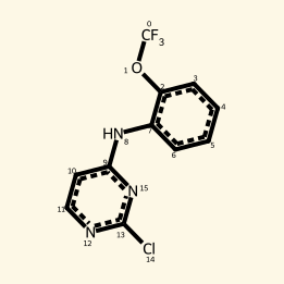 FC(F)(F)Oc1ccccc1Nc1ccnc(Cl)n1